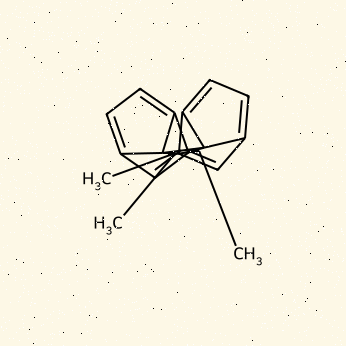 CC1CC(C)(C)C2(C3=CC=C2C=C3)C2(C1)C1=CC=C2C=C1